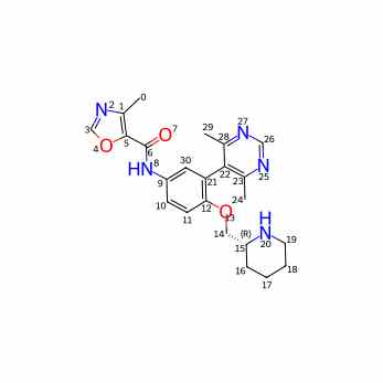 Cc1ncoc1C(=O)Nc1ccc(OC[C@H]2CCCCN2)c(-c2c(C)ncnc2C)c1